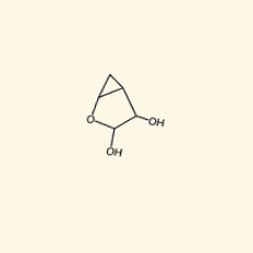 OC1OC2CC2C1O